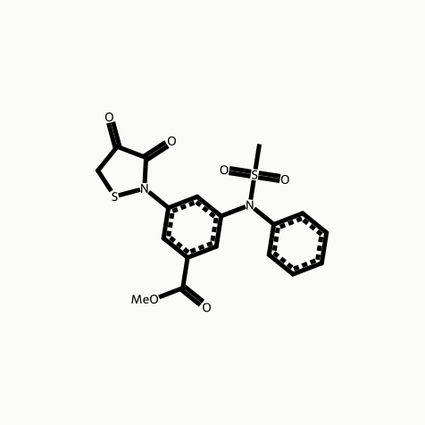 COC(=O)c1cc(N2SCC(=O)C2=O)cc(N(c2ccccc2)S(C)(=O)=O)c1